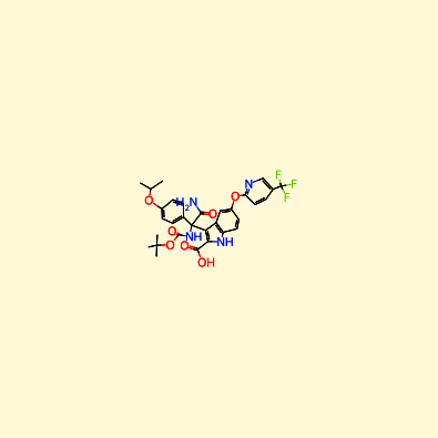 CC(C)Oc1ccc(C(NC(=O)OC(C)(C)C)(C(N)=O)c2c(C(=O)O)[nH]c3ccc(Oc4ccc(C(F)(F)F)cn4)cc23)cc1